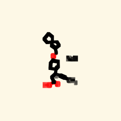 CC#C[C@@H](CC(=O)O)c1ccc(OCC2=CC3(CCCC3)CC2)cc1.[NaH]